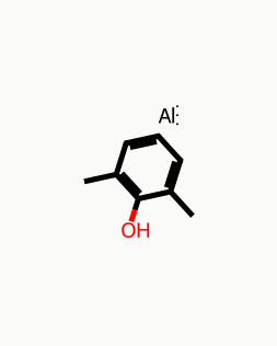 Cc1cccc(C)c1O.[Al]